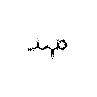 O=C(O)C=CC(=O)c1ccco1